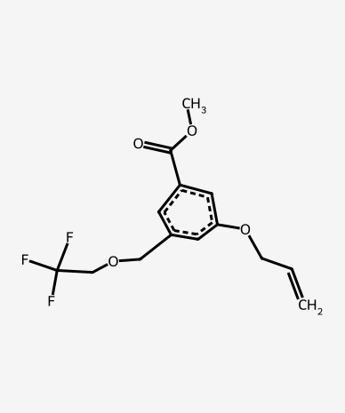 C=CCOc1cc(COCC(F)(F)F)cc(C(=O)OC)c1